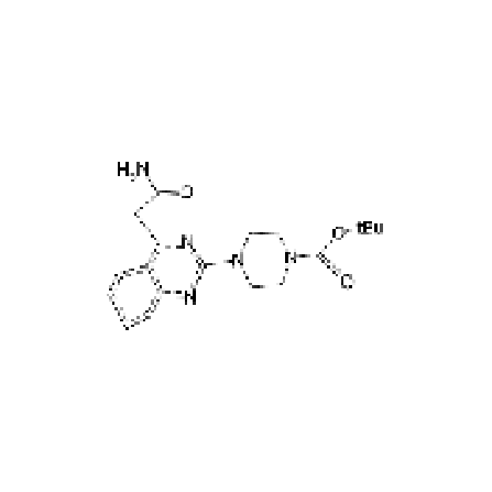 CC(C)(C)OC(=O)N1CCN(c2nc(CC(N)=O)c3ccccc3n2)CC1